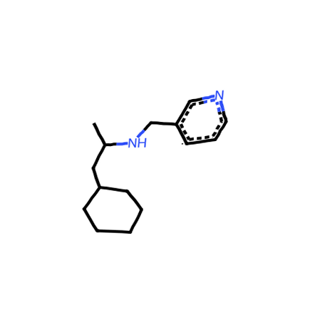 CC(CC1CCCCC1)NCc1[c]ccnc1